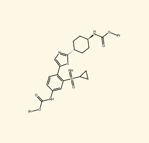 CC(C)OC(=O)Nc1ccc(-c2cnc([C@H]3CC[C@H](NC(=O)OC(C)C)CC3)s2)c(S(=N)(=O)C2CC2)c1